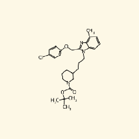 Cc1cccc2c1nc(COc1ccc(Cl)cc1)n2CCCC1CCCN(C(=O)OC(C)(C)C)C1